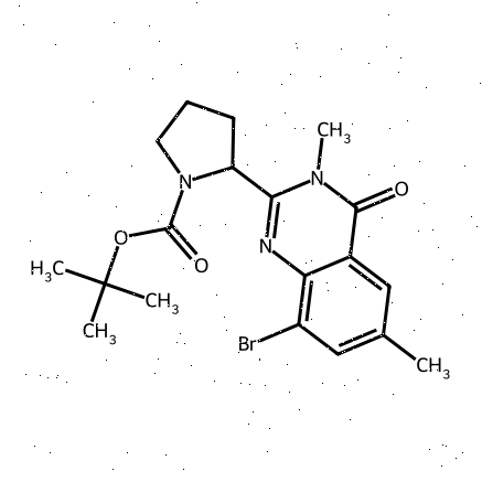 Cc1cc(Br)c2nc(C3CCCN3C(=O)OC(C)(C)C)n(C)c(=O)c2c1